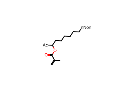 C=C(C)C(=O)OC(CCCCCCCCCCCCCCC)C(C)=O